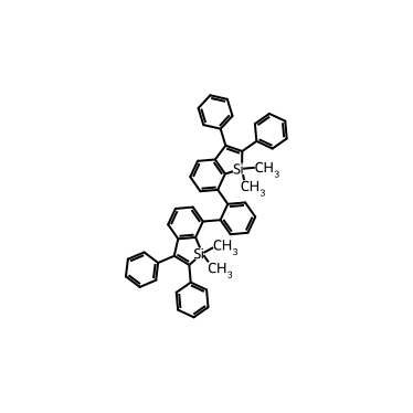 C[Si]1(C)C(c2ccccc2)=C(c2ccccc2)c2cccc(-c3ccccc3-c3cccc4c3[Si](C)(C)C(c3ccccc3)=C4c3ccccc3)c21